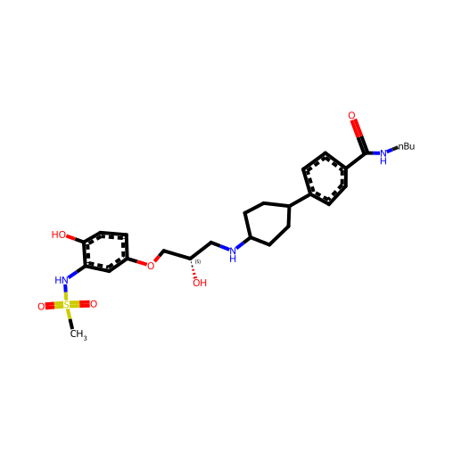 CCCCNC(=O)c1ccc(C2CCC(NC[C@H](O)COc3ccc(O)c(NS(C)(=O)=O)c3)CC2)cc1